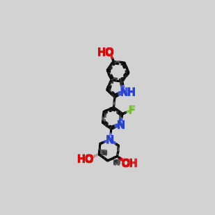 Oc1ccc2[nH]c(-c3ccc(N4C[C@@H](O)C[C@H](O)C4)nc3F)cc2c1